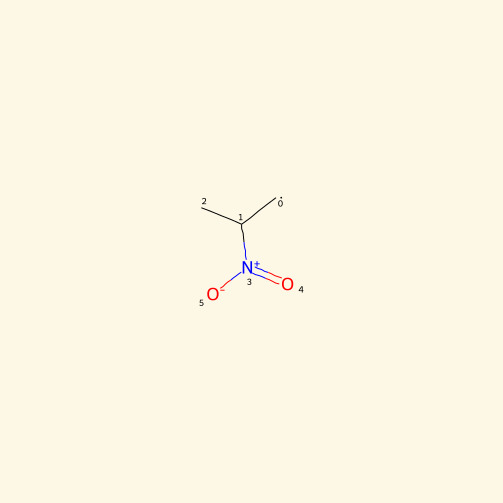 [CH2]C(C)[N+](=O)[O-]